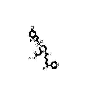 CCC(=CCCC(=O)N1CCN(S(=O)(=O)c2cc3cc(Cl)ccc3[nH]2)CC1CC(=O)OC)c1ccncc1